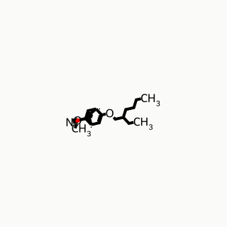 CCCCC(CC)COC1=C[C]2C(C#N)=C[C]1C=C2OC